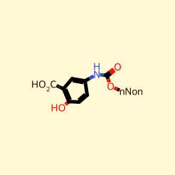 CCCCCCCCCOC(=O)Nc1ccc(O)c(C(=O)O)c1